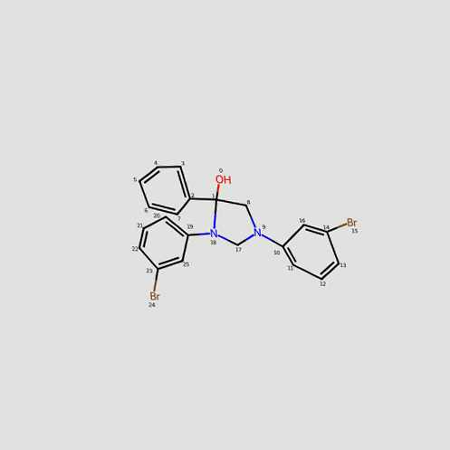 OC1(c2ccccc2)CN(c2cccc(Br)c2)CN1c1cccc(Br)c1